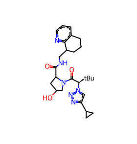 CC(C)(C)[C@H](C(=O)N1CC(O)CC1C(=O)NCC1CCCc2cccnc21)n1cc(C2CC2)nn1